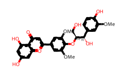 COc1cc([C@H](O)[C@H](CO)Oc2c(OC)cc(-c3cc(=O)c4c(O)cc(O)cc4o3)cc2OC)ccc1O